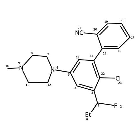 CCC(F)c1cc(N2CCN(C)CC2)cc(-c2ccccc2C#N)c1Cl